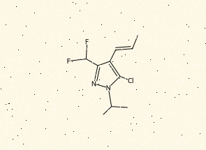 C/C=C/c1c(C(F)F)nn(C(C)C)c1Cl